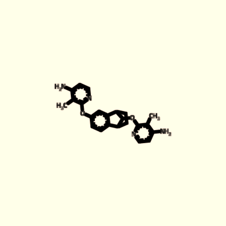 Cc1c(N)ccnc1Oc1ccc2c(c1)C1CCC2C1Oc1nccc(N)c1C